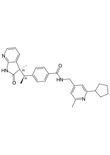 Cc1cc(CNC(=O)c2ccc([C@@H](C)[C@@]3(C)C(=O)Nc4ncccc43)cc2)cc(C2CCCC2)n1